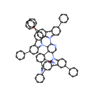 N#Cc1cccc(-c2c(-n3c4ccc(-c5ccccc5)cc4c4cc(-c5ccccc5)ccc43)cnc(-n3c4ccc(-c5ccccc5)cc4c4cc(-c5ccccc5)ccc43)c2-n2c3ccc(-c4ccccc4)cc3c3cc(-c4ccccc4)ccc32)c1C#N